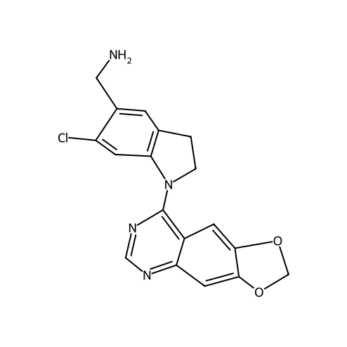 NCc1cc2c(cc1Cl)N(c1ncnc3cc4c(cc13)OCO4)CC2